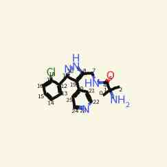 CC(C)(N)C(=O)NCc1[nH]nc(-c2ccccc2Cl)c1-c1ccncc1